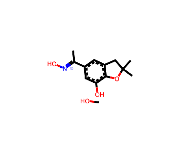 C/C(=N\O)c1cc(O)c2c(c1)CC(C)(C)O2.CO